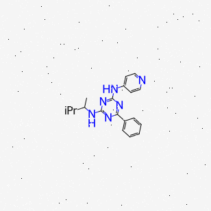 CC(C)C(C)Nc1nc(Nc2ccncc2)nc(-c2ccccc2)n1